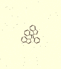 C1=C[CH]([Ti]([c]2ccccc2)([c]2ccccc2)[CH]2C=Cc3ccccc32)c2ccccc21